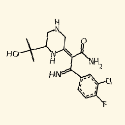 CC(C)(O)C1CNC/C(=C(/C(=N)c2ccc(F)c(Cl)c2)C(N)=O)N1